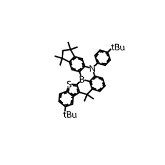 CC(C)(C)c1ccc(N2c3cc4c(cc3B3c5sc6ccc(C(C)(C)C)cc6c5C(C)(C)c5cccc2c53)C(C)(C)CC4(C)C)cc1